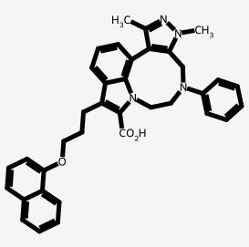 Cc1nn(C)c2c1-c1cccc3c(CCCOc4cccc5ccccc45)c(C(=O)O)n(c13)CCN(c1ccccc1)C2